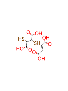 O=C(O)C(S)C(S)C(=O)O.O=C(O)C=CC(=O)O